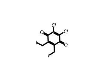 O=C1C(Cl)=C(Cl)C(=O)C(CI)=C1CI